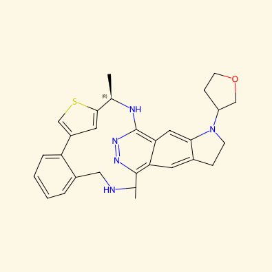 CNCc1ccccc1-c1csc([C@@H](C)Nc2nnc(C)c3cc4c(cc23)N(C2CCOC2)CC4)c1